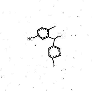 N#Cc1ccc(F)c(C(O)c2ccc(F)cc2)c1